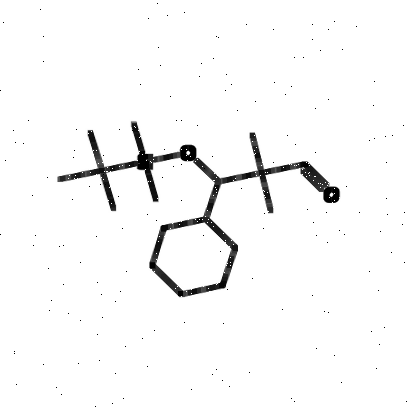 CC(C)(C=O)C(O[Si](C)(C)C(C)(C)C)C1CCCCC1